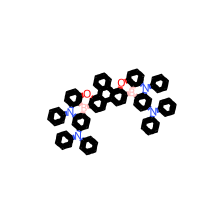 c1ccc(N(c2ccccc2)c2ccc3c(c2)N(c2ccccc2)c2cccc4c2B3c2ccc3c5ccc6c(c5c5ccccc5c3c2O4)Oc2cccc3c2B6c2ccc(N(c4ccccc4)c4ccccc4)cc2N3c2ccccc2)cc1